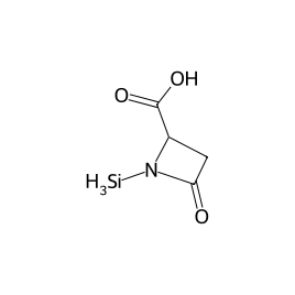 O=C(O)C1CC(=O)N1[SiH3]